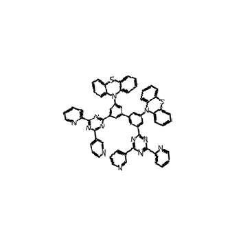 c1ccc(-c2nc(-c3cccnc3)nc(-c3cc(-c4cc(-c5nc(-c6cccnc6)nc(-c6ccccn6)n5)cc(N5c6ccccc6Sc6ccccc65)c4)cc(N4c5ccccc5Sc5ccccc54)c3)n2)nc1